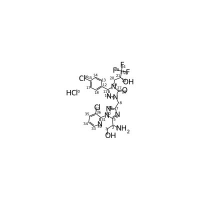 Cl.NC(CO)c1nc(Cn2nc(-c3ccc(Cl)cc3)n(C[C@H](O)C(F)(F)F)c2=O)nn1-c1ncccc1Cl